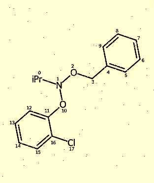 CC(C)N(OCc1ccccc1)Oc1ccccc1Cl